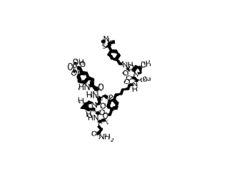 Cc1ncsc1-c1ccc(CNC(=O)[C@@H]2C[C@@H](O)CN2C(=O)[C@@H](NC(=O)CCCCc2ccc(CO[C@H](C)[C@H](CCC(N)=O)NC(=O)[C@@H]3[C@@H]4C[C@@H]4CN3C(=O)[C@H](CC(C)C)NC(=O)c3cc4cc(C(=O)P(=O)(O)O)ccc4[nH]3)cc2)C(C)(C)C)cc1